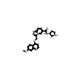 COc1ccc2c(OCc3nnc4ccc(C(=O)N[C@H]5CCNC5)cn34)ccnc2c1